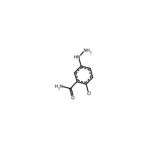 NNc1ccc(Cl)c(C(N)=O)c1